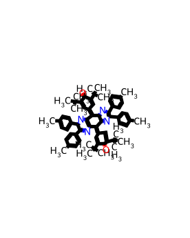 Cc1ccc(-c2nc3c(=C4C=C(C(C)(C)C)C(=O)C(C(C)(C)C)=C4)c4nc(-c5ccc(C)cc5)c(-c5ccc(C)cc5)nc4c(=C4C=C(C(C)(C)C)C(=O)C(C(C)(C)C)=C4)c3nc2-c2ccc(C)cc2)cc1